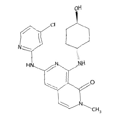 Cn1ccc2cc(Nc3cc(Cl)ccn3)nc(N[C@H]3CC[C@H](O)CC3)c2c1=O